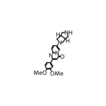 COc1ccc(-c2cc(=O)n3cc(N4C[C@H]5CNC[C@H]5C4)ccc3n2)cc1OC